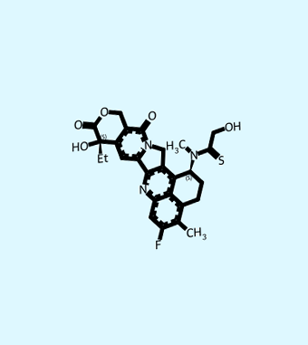 CC[C@@]1(O)C(=O)OCc2c1cc1n(c2=O)Cc2c-1nc1cc(F)c(C)c3c1c2[C@@H](N(C)C(=S)CO)CC3